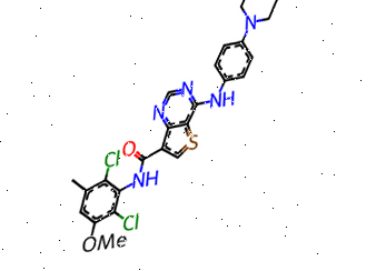 CCN1CCN(c2ccc(Nc3ncnc4c(C(=O)Nc5c(Cl)c(C)cc(OC)c5Cl)csc34)cc2)CC1